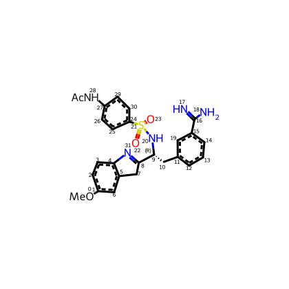 COc1ccc2c(c1)CC([C@@H](Cc1cccc(C(=N)N)c1)NS(=O)(=O)c1ccc(NC(C)=O)cc1)=N2